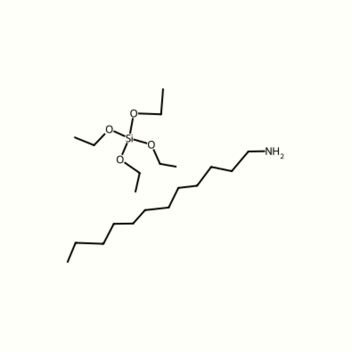 CCCCCCCCCCCCN.CCO[Si](OCC)(OCC)OCC